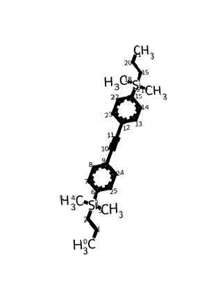 CCC[Si](C)(C)c1ccc(C#Cc2ccc([Si](C)(C)CCC)cc2)cc1